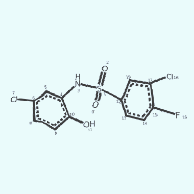 O=S(=O)(Nc1cc(Cl)ccc1O)c1ccc(F)c(Cl)c1